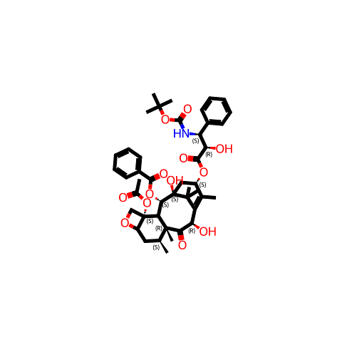 CC(=O)O[C@@]12COC1C[C@H](C)[C@@]1(C)C(=O)[C@H](O)C3=C(C)[C@@H](OC(=O)[C@H](O)[C@@H](NC(=O)OC(C)(C)C)c4ccccc4)C[C@@](O)([C@@H](OC(=O)c4ccccc4)C21)C3(C)C